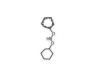 B(Oc1ccccc1)OC1CCCCC1